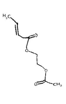 CC=CC(=O)OCCOC(C)=O